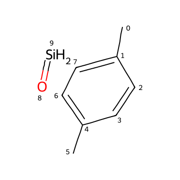 Cc1ccc(C)cc1.O=[SiH2]